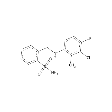 Cc1c(NCc2ccccc2S(N)(=O)=O)ccc(F)c1Cl